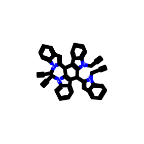 C#CCn1c(C2c3c(n(CC#C)c4ccccc34)C(c3cc4ccccc4n3CC#C)c3c2n(CC#C)c2ccccc32)cc2ccccc21